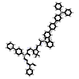 C=C/C(=C\C=C\N(C(=C)/C=C\C1=CC(C)(C)C/C1=C\C=C(/C)n1c2ccccc2c2cc(-c3ccc(-c4ccc(N(c5ccccc5)c5ccccc5)cc4)cc3)ccc21)c1ccc(C2C=CC=CC2)cc1)c1ccccc1